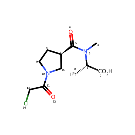 CC(C)[C@@H](C(=O)O)N(C)C(=O)[C@@H]1CCN(C(=O)CCl)C1